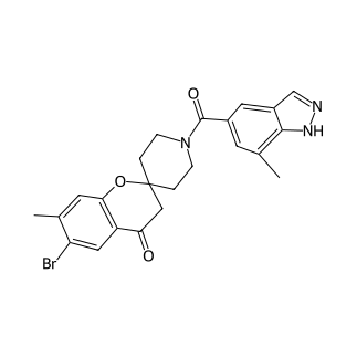 Cc1cc2c(cc1Br)C(=O)CC1(CCN(C(=O)c3cc(C)c4[nH]ncc4c3)CC1)O2